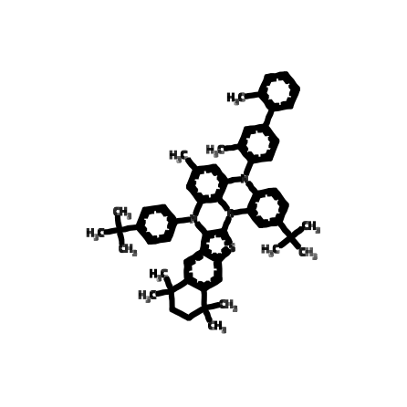 Cc1cc2c3c(c1)N(c1ccc(C(C)(C)C)cc1)c1c(sc4cc5c(cc14)C(C)(C)CCC5(C)C)B3c1cc(C(C)(C)C)ccc1N2c1ccc(-c2ccccc2C)cc1C